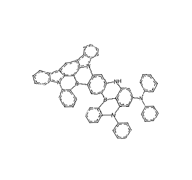 c1ccc(N(c2ccccc2)c2cc3c4c(c2)N(c2ccccc2)c2ccccc2B4c2cc4c(cc2N3)-n2c3ccccc3c3cc5c6ccccc6n6c5c(c32)B4c2ccccc2-6)cc1